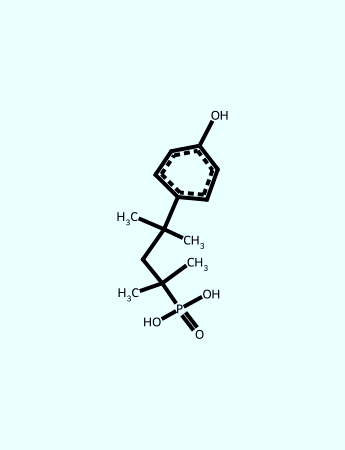 CC(C)(CC(C)(C)P(=O)(O)O)c1ccc(O)cc1